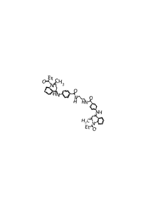 CCC(=O)N1c2ccccc2[C@H](Nc2ccc(C(=O)NCCCNC(=O)c3ccc(N[C@@H]4C[C@H](C)N(C(=O)CC)c5ccccc54)cc3)cc2)C[C@@H]1C